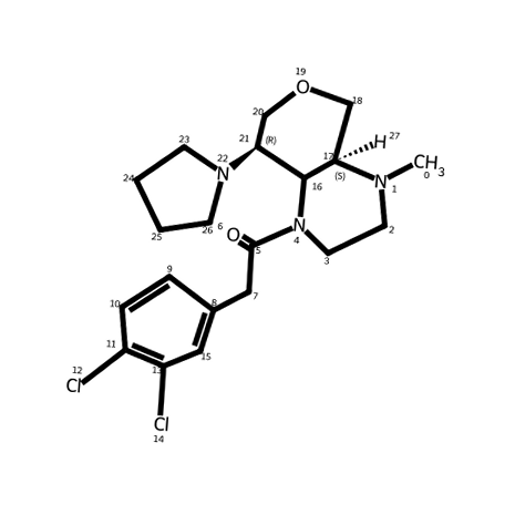 CN1CCN(C(=O)Cc2ccc(Cl)c(Cl)c2)C2[C@H]1COC[C@@H]2N1CCCC1